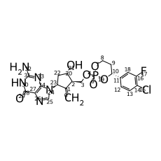 C=C1[C@H](COP2(=O)OCC[C@H](c3ccc(Cl)c(F)c3)O2)[C@@H](O)C[C@@H]1n1cnc2c(=O)[nH]c(N)nc21